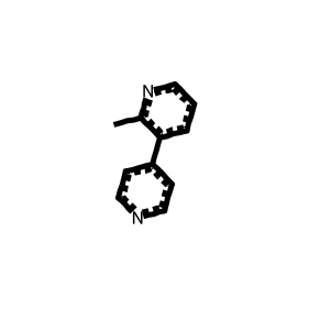 Cc1ncccc1-c1ccncc1